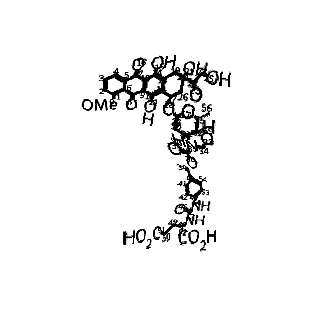 COc1cccc2c1C(=O)c1c(O)c3c(c(O)c1C2=O)C[C@@](O)(C(=O)CO)C[C@@H]3OC1C[C@H]2[C@H](OCN2C(=O)OCc2ccc(NC(=O)N[C@H](CCC(=O)O)C(=O)O)cc2)[C@H](C)O1